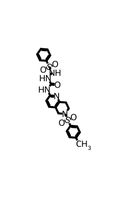 Cc1ccc(S(=O)(=O)N2CCc3nc(NC(=O)NNS(=O)(=O)c4ccccc4)ccc3C2)cc1